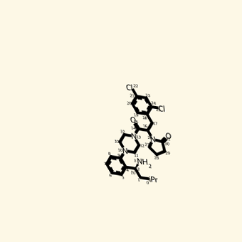 CC(C)C[C@H](N)c1ccccc1N1CCN(C(=O)C(Cc2ccc(Cl)cc2Cl)N2CCCC2=O)CC1